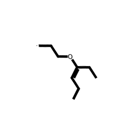 [CH2]CCOC(=CCC)CC